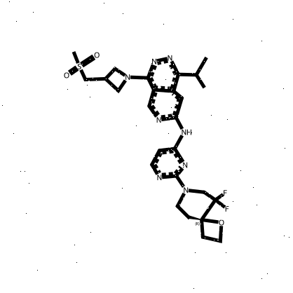 CC(C)c1nnc(N2CC(CS(C)(=O)=O)C2)c2cnc(Nc3ccnc(N4CC[C@@]5(CCO5)C(F)(F)C4)n3)cc12